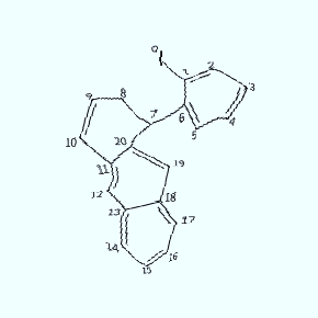 Ic1ccccc1C1CC=Cc2cc3ccccc3cc21